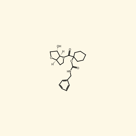 O=C(NCc1ccccc1)OC1(C(=O)N2CC[C@H]3OC[C@H](O)[C@H]32)CCCCC1